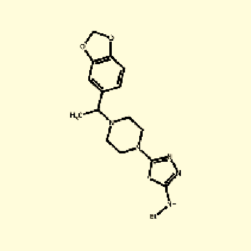 CCNc1nnc(N2CCN(C(C)c3ccc4c(c3)OCO4)CC2)s1